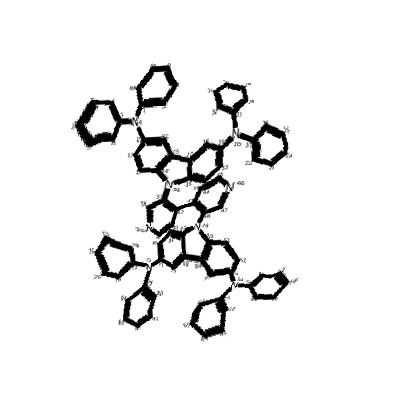 c1ccc(N(c2ccccc2)c2ccc3c(c2)c2cc(N(c4ccccc4)c4ccccc4)ccc2n3-c2cnccc2-c2ccncc2-n2c3ccc(N(c4ccccc4)c4ccccc4)cc3c3cc(N(c4ccccc4)c4ccccc4)ccc32)cc1